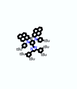 CC(C)(C)c1ccc(N2c3cc(-c4nc(-c5cc(C(C)(C)C)cc(C(C)(C)C)c5)cc(-c5cc(C(C)(C)C)cc(C(C)(C)C)c5)n4)cc4c3B(c3cc5ccc6cccc7ccc(c32)c5c67)c2cc3ccc5cccc6ccc(c2N4c2ccc(C(C)(C)C)cc2)c3c56)cc1